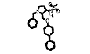 CS(=O)(=O)NC1CCN(Cc2ccccc2)C1COC1CCC(c2ccccc2)CC1